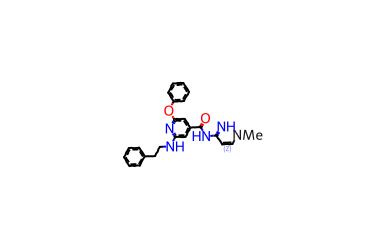 CN/C=C\C(=N)NC(=O)c1cc(NCCc2ccccc2)nc(Oc2ccccc2)c1